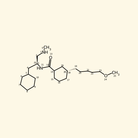 CNC[C@H](CC1CCCCC1)NC(=O)C1CCC[C@@H](CCCCCOC)C1